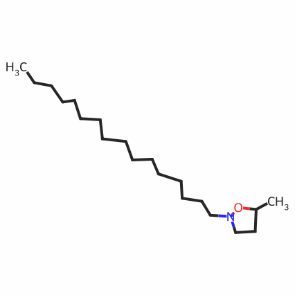 CCCCCCCCCCCCCCCCN1CCC(C)O1